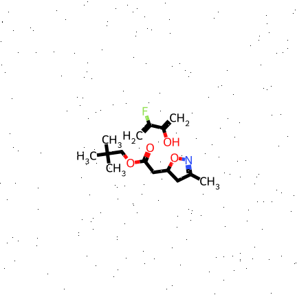 C=C(O)C(=C)F.CC1=NOC(CC(=O)OCC(C)(C)C)C1